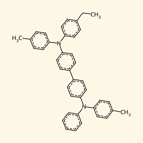 CCc1ccc(N(c2ccc(C)cc2)c2ccc(-c3ccc(N(c4ccccc4)c4ccc(C)cc4)cc3)cc2)cc1